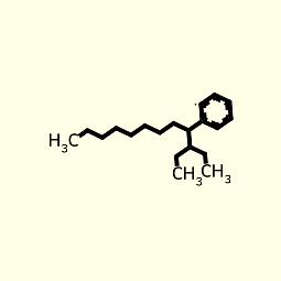 CCCCCCCCC(c1[c]cccc1)C(CC)CC